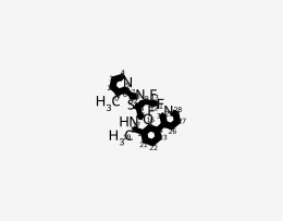 Cc1cccnc1-c1nc(C(F)(F)F)c(C(=O)N[C@@H](C)c2cccc(-c3cccnc3)c2)s1